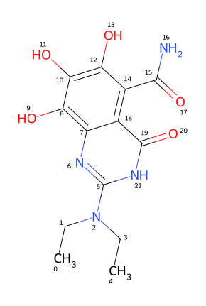 CCN(CC)c1nc2c(O)c(O)c(O)c(C(N)=O)c2c(=O)[nH]1